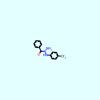 NN(Nc1ccc(C(F)(F)F)cc1)C(=O)c1ccccc1